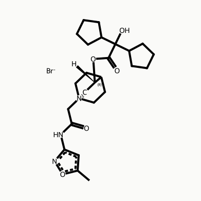 Cc1cc(NC(=O)C[N+]23CCC(CC2)[C@@H](OC(=O)C(O)(C2CCCC2)C2CCCC2)C3)no1.[Br-]